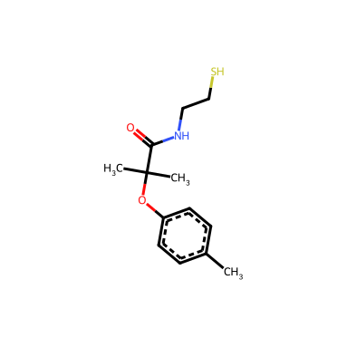 Cc1ccc(OC(C)(C)C(=O)NCCS)cc1